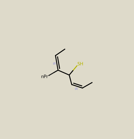 C/C=C\C(S)/C(=C\C)CCC